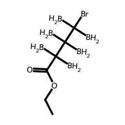 BC(B)(Br)C(B)(B)C(B)(B)C(=O)OCC